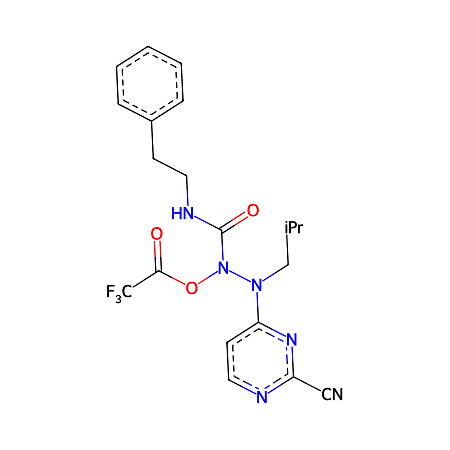 CC(C)CN(c1ccnc(C#N)n1)N(OC(=O)C(F)(F)F)C(=O)NCCc1ccccc1